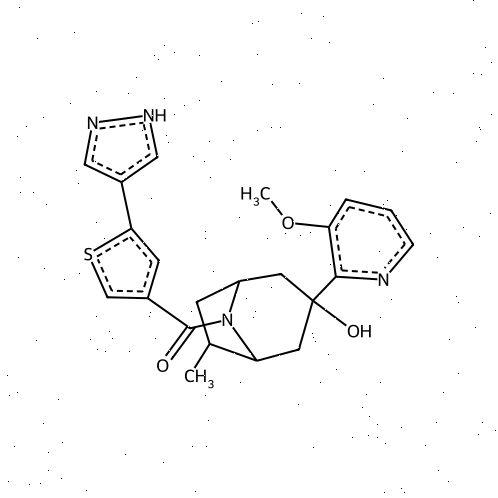 COc1cccnc1C1(O)CC2CC(C)C(C1)N2C(=O)c1csc(-c2cn[nH]c2)c1